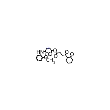 COc1ccccc1NC(=O)/C=C\C(=O)OC(=O)CCC(=O)C1CCCCC1=O